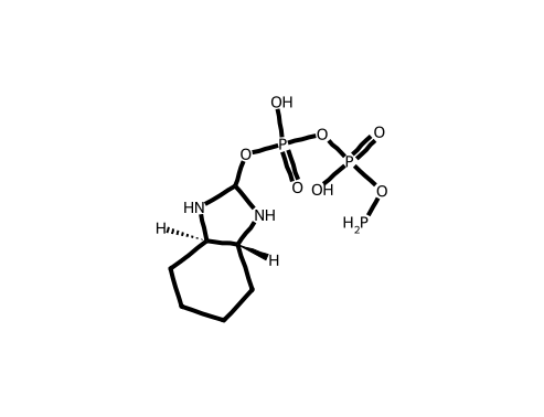 O=P(O)(OP)OP(=O)(O)OC1N[C@@H]2CCCC[C@H]2N1